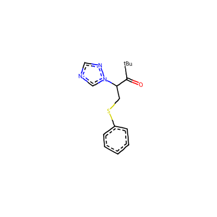 CC(C)(C)C(=O)C(CSc1ccccc1)n1cncn1